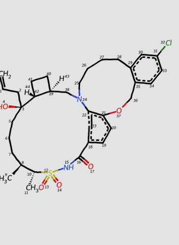 C=CC[C@@]1(O)CCC[C@H](C)[C@@H](C)S(=O)(=O)NC(=O)c2ccc3c(c2)N(CCCCc2cc(Cl)ccc2CO3)C[C@@H]2CC[C@H]21